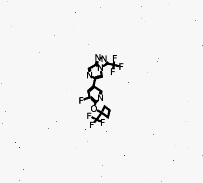 Fc1cc(-c2cn3c(C(F)(F)F)nnc3cn2)cnc1OC1(C(F)(F)F)CCC1